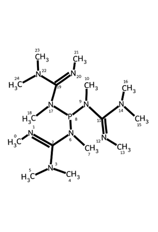 C/N=C(\N(C)C)N(C)P(N(C)/C(=N/C)N(C)C)N(C)/C(=N/C)N(C)C